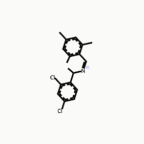 Cc1cc(C)c(/C=N\C(C)c2ccc(Cl)cc2Cl)c(C)c1